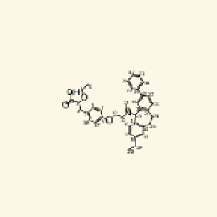 CCOC(Cc1ccc(OCCN(C)C2c3ccc(CC)cc3CCc3ccc(-c4ccccc4)cc32)cc1)C(=O)O